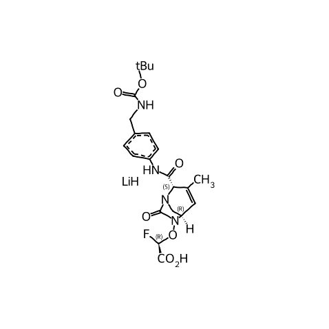 CC1=C[C@@H]2CN(C(=O)N2O[C@H](F)C(=O)O)[C@@H]1C(=O)Nc1ccc(CNC(=O)OC(C)(C)C)cc1.[LiH]